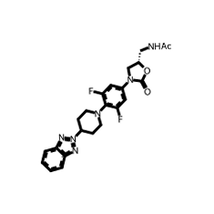 CC(=O)NC[C@H]1CN(c2cc(F)c(N3CCC(n4nc5ccccc5n4)CC3)c(F)c2)C(=O)O1